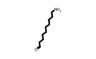 NCCCCCCCCCC=O